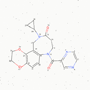 O=C(c1cnccn1)N1CCC(=O)N(C2CC2)Cc2c1ccc1c2OCCO1